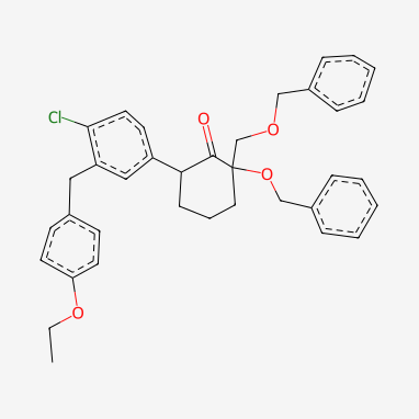 CCOc1ccc(Cc2cc(C3CCCC(COCc4ccccc4)(OCc4ccccc4)C3=O)ccc2Cl)cc1